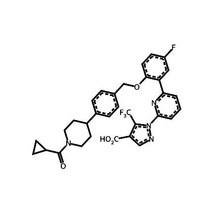 O=C(O)c1cnn(-c2cccc(-c3cc(F)ccc3OCc3ccc(C4CCN(C(=O)C5CC5)CC4)cc3)n2)c1C(F)(F)F